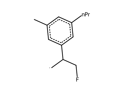 [CH2]C(CF)c1cc(C)cc(CCC)c1